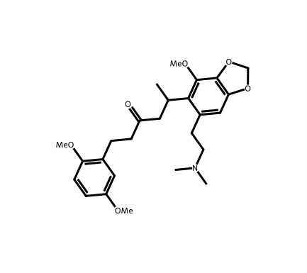 COc1ccc(OC)c(CCC(=O)CC(C)c2c(CCN(C)C)cc3c(c2OC)OCO3)c1